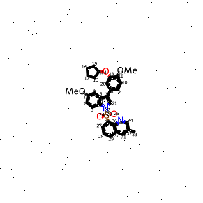 COc1ccc2c(c1)c(-c1ccc(OC)c(OC3CCCC3)c1)cn2S(=O)(=O)c1cccc2cc(C)cnc12